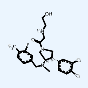 CN(Cc1ccc(C(F)(F)F)c(F)c1)[C@H]1CN(C(=O)CNCCO)C[C@@H]1c1ccc(Cl)c(Cl)c1